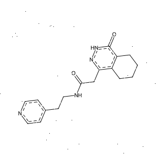 O=C(Cc1n[nH]c(=O)c2c1CCCC2)NCCc1ccncc1